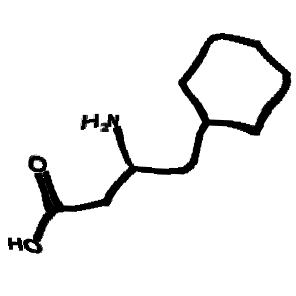 N[C@H](CC(=O)O)CC1CCCCC1